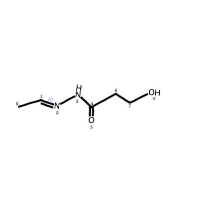 C/C=N/NC(=O)CCO